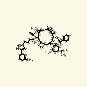 CO[C@@]1(C)C[C@@H](C)C(=O)[C@H](C)C2N(CCCCN3C=C(c4cccc(N)c4)NN3)C(=O)O[C@@]23C(C)[C@H]3OC(=O)[C@@](C)(F)C(=O)[C@H](C)[C@H]1OC1O[C@H](C)C[C@H](N(C)C)[C@H]1OC(=O)c1ccccc1